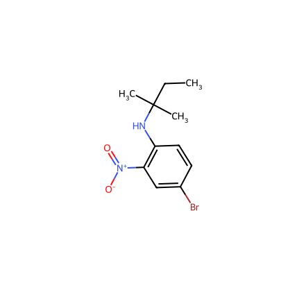 CCC(C)(C)Nc1ccc(Br)cc1[N+](=O)[O-]